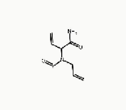 C=CCN([C]=O)C(C=C)C(N)=O